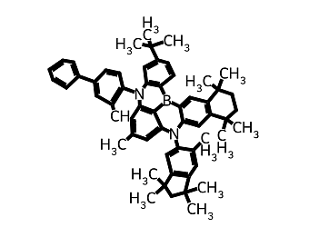 Cc1cc2c3c(c1)N(c1cc4c(cc1C)C(C)(C)CC4(C)C)c1cc4c(cc1B3c1ccc(C(C)(C)C)cc1N2c1ccc(-c2ccccc2)cc1C)C(C)(C)CCC4(C)C